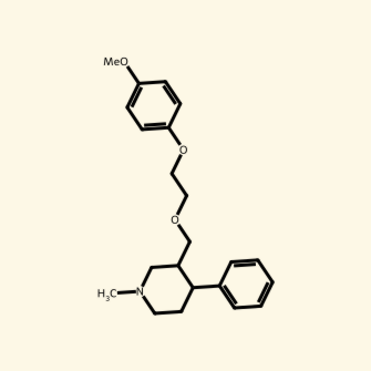 COc1ccc(OCCOCC2CN(C)CCC2c2ccccc2)cc1